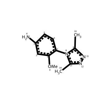 COc1cc(N)ccc1-n1c(C)nnc1C